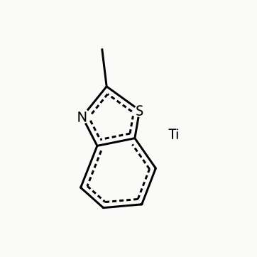 Cc1nc2ccccc2s1.[Ti]